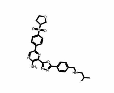 CC(F)CNCc1ccc(-c2nnc(-c3nc(-c4ccc(S(=O)(=O)C5CCOC5)cc4)cnc3N)o2)cc1